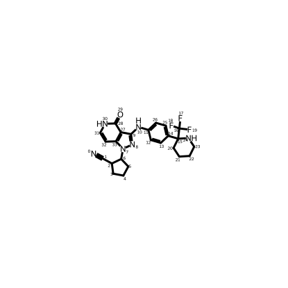 N#CC1CCCC1n1nc(Nc2ccc(C3(C(F)(F)F)CCCCN3)cc2)c2c(=O)[nH]ccc21